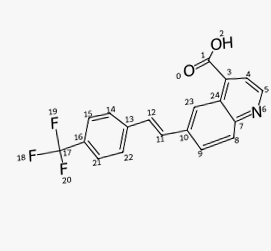 O=C(O)c1ccnc2ccc(C=Cc3ccc(C(F)(F)F)cc3)cc12